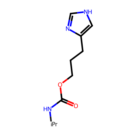 CC(C)NC(=O)OCCCc1c[nH]cn1